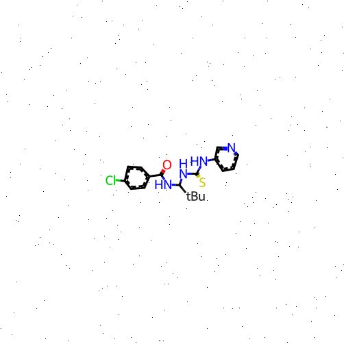 CC(C)(C)C(NC(=O)c1ccc(Cl)cc1)NC(=S)Nc1cccnc1